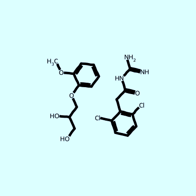 COc1ccccc1OCC(O)CO.N=C(N)NC(=O)Cc1c(Cl)cccc1Cl